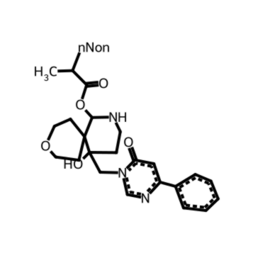 CCCCCCCCCC(C)C(=O)OC1NCCC(O)(Cn2cnc(-c3ccccc3)cc2=O)C12CCOCC2